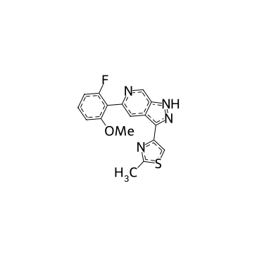 COc1cccc(F)c1-c1cc2c(-c3csc(C)n3)n[nH]c2cn1